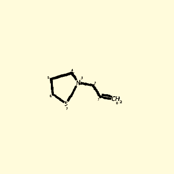 C=CCN1[CH]CCS1